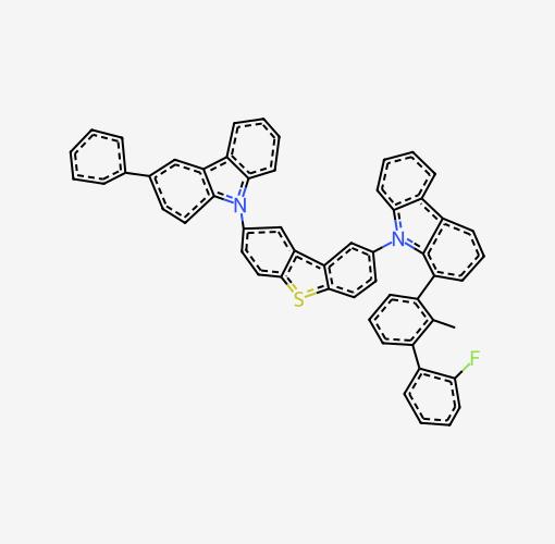 Cc1c(-c2ccccc2F)cccc1-c1cccc2c3ccccc3n(-c3ccc4sc5ccc(-n6c7ccccc7c7cc(-c8ccccc8)ccc76)cc5c4c3)c12